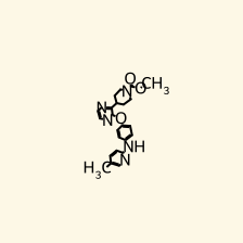 COC(=O)N1CCC(c2nccnc2Oc2ccc(Nc3ccc(C)cn3)cc2)CC1